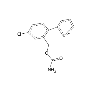 NC(=O)OCc1cc(Cl)ccc1-c1ccccc1